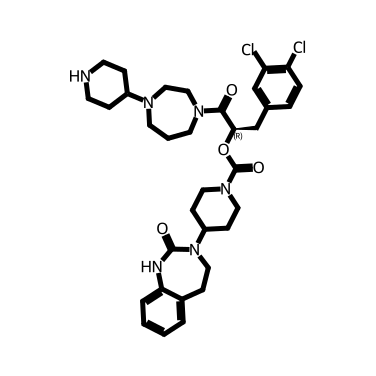 O=C(O[C@H](Cc1ccc(Cl)c(Cl)c1)C(=O)N1CCCN(C2CCNCC2)CC1)N1CCC(N2CCc3ccccc3NC2=O)CC1